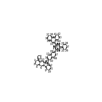 Clc1cccc2cc3c4ccccc4n(-c4ccc5cc(-c6nc(-c7ccccc7)nc(-c7cc8ccccc8c8ccccc78)n6)ccc5c4)c3cc12